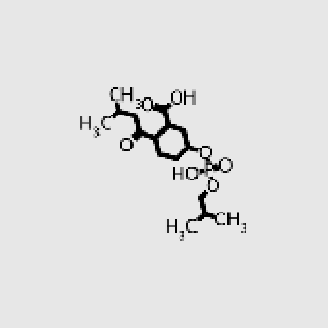 CC(C)COP(=O)(O)OC1CCC(C(=O)CC(C)C)C(C(=O)O)C1